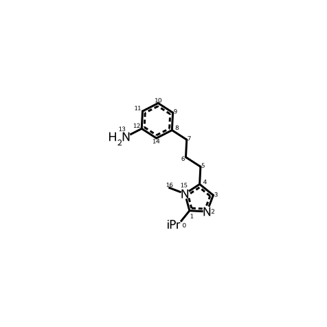 CC(C)c1ncc(CCCc2cccc(N)c2)n1C